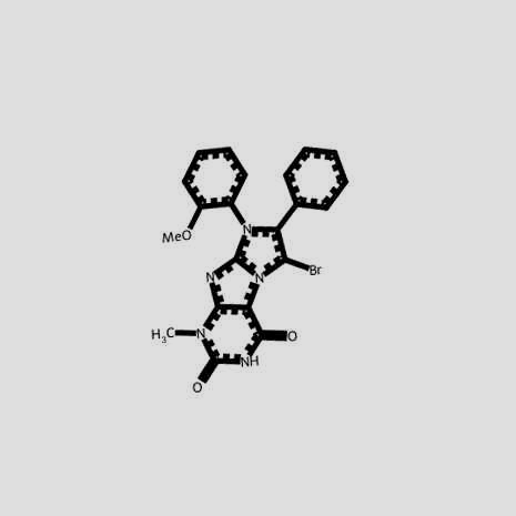 COc1ccccc1-n1c(-c2ccccc2)c(Br)n2c3c(=O)[nH]c(=O)n(C)c3nc12